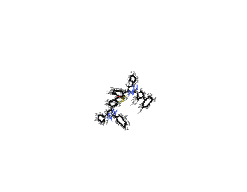 c1ccc(-c2ccc(-c3nc(-c4ccccc4)cc(-c4cccc5c4sc4cc(-c6cc(-c7ccccc7)nc(-c7ccccc7)n6)ccc45)n3)cc2)cc1